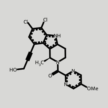 COc1cnc(C(=O)N2CCc3[nH]c4c(Cl)c(Cl)cc(C#CCO)c4c3[C@@H]2C)nc1